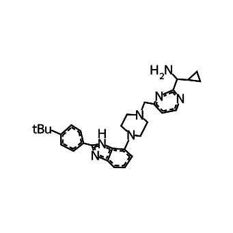 CC(C)(C)c1ccc(-c2nc3cccc(N4CCN(Cc5ccnc(C(N)C6CC6)n5)CC4)c3[nH]2)cc1